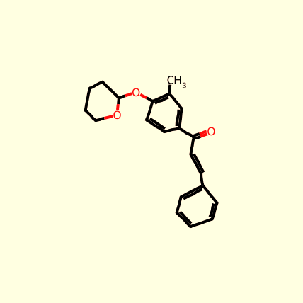 Cc1cc(C(=O)/C=C/c2ccccc2)ccc1OC1CCCCO1